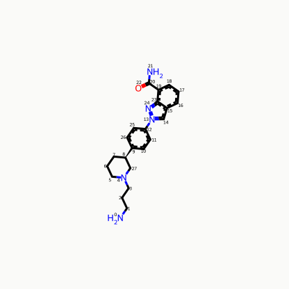 NCCCN1CCC[C@@H](c2ccc(-n3cc4cccc(C(N)=O)c4n3)cc2)C1